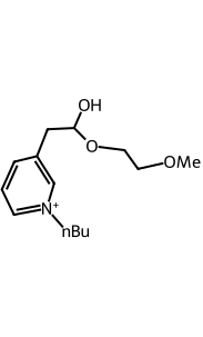 CCCC[n+]1cccc(CC(O)OCCOC)c1